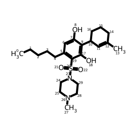 CCCCCc1cc(O)c(C2C=C(C)CCC2)c(O)c1S(=O)(=O)N1CCN(C)CC1